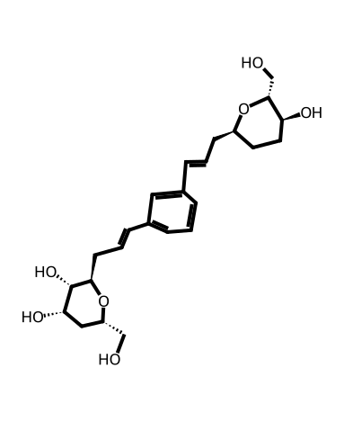 OC[C@@H]1C[C@H](O)[C@H](O)[C@@H](C/C=C/c2cccc(/C=C/C[C@@H]3CC[C@H](O)[C@@H](CO)O3)c2)O1